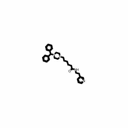 O=C(CCCCCN1CCN(C(c2ccccc2)c2ccccc2)CC1)NCCc1cccnc1